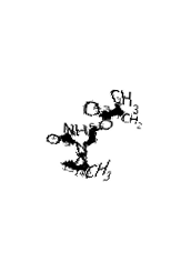 C=C(C)C(=O)OCCN(C(N)=O)N1CC1C